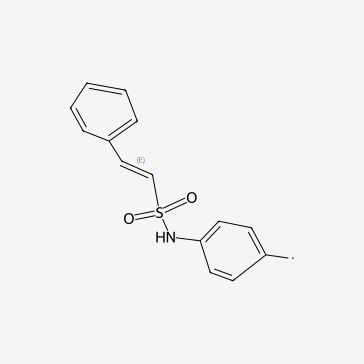 [CH2]c1ccc(NS(=O)(=O)/C=C/c2ccccc2)cc1